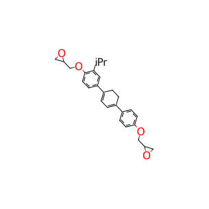 CC(C)c1cc(C2=CC=C(c3ccc(OCC4CO4)cc3)CC2)ccc1OCC1CO1